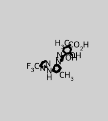 Cc1cc(Nc2nccc(C(F)(F)F)n2)cc(-n2cnc(C3(O)CCC(C)(C(=O)O)CC3O)c2)c1